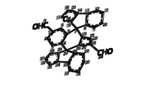 O=Cc1ccc2c(c1)C1(c3ccccc3-c3ccccc31)c1ccc(C=O)cc1C21c2ccccc2-c2ccccc21